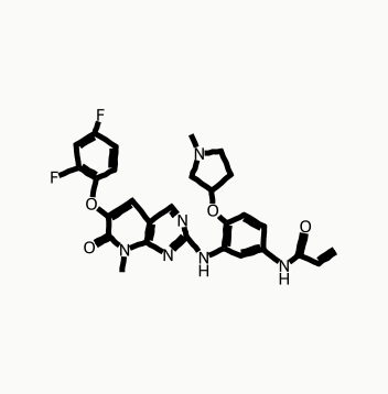 C=CC(=O)Nc1ccc(OC2CCN(C)C2)c(Nc2ncc3cc(Oc4ccc(F)cc4F)c(=O)n(C)c3n2)c1